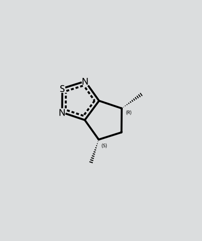 C[C@@H]1C[C@H](C)c2nsnc21